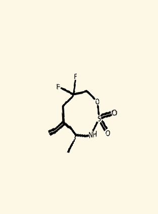 C=C1CC(F)(F)COS(=O)(=O)N[C@H]1C